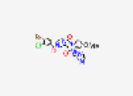 COc1ccc(-n2c(C(=O)NCc3cnccn3)c3n(c2=O)CCN(C(=O)c2ccc(Br)c(Cl)c2)C3)cc1